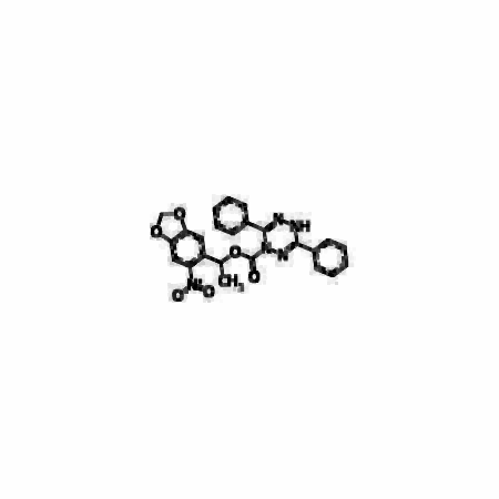 CC(OC(=O)N1N=C(c2ccccc2)NN=C1c1ccccc1)c1cc2c(cc1[N+](=O)[O-])OCO2